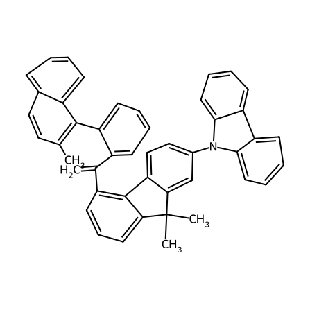 C=C(c1ccccc1-c1c(C)ccc2ccccc12)c1cccc2c1-c1ccc(-n3c4ccccc4c4ccccc43)cc1C2(C)C